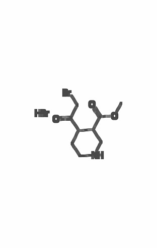 Br.COC(=O)C1CNCCC1C(=O)CBr